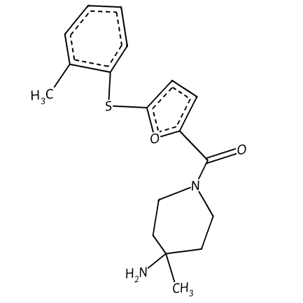 Cc1ccccc1Sc1ccc(C(=O)N2CCC(C)(N)CC2)o1